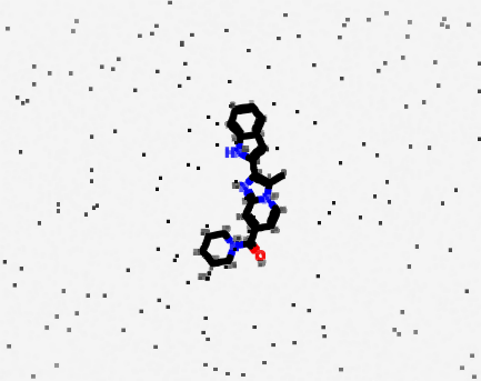 Cc1c(-c2cc3ccccc3[nH]2)nc2cc(C(=O)N3CCC[C@@H](C)C3)ccn12